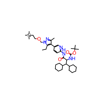 CCc1c(-c2ccc(NC(=O)C(NC(=O)OC(C)(C)C)C(C3CCCCC3)C3CCCCC3)nc2)c(C)nn1COCC[Si](C)(C)C